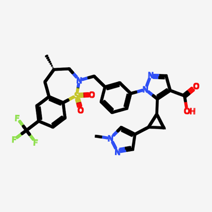 C[C@H]1Cc2cc(C(F)(F)F)ccc2S(=O)(=O)N(Cc2cccc(-n3ncc(C(=O)O)c3C3CC3c3cnn(C)c3)c2)C1